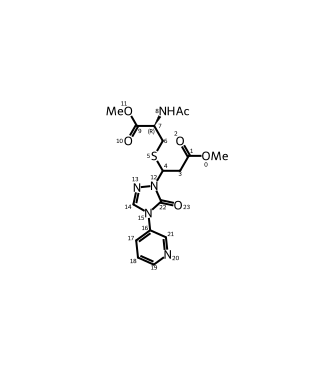 COC(=O)CC(SC[C@H](NC(C)=O)C(=O)OC)n1ncn(-c2cccnc2)c1=O